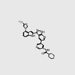 Cc1cn(-c2cccc3[nH]c(-c4n[nH]c5ncc(-c6cncc(NC(=O)C7CCCCC7)c6)cc45)cc23)cn1